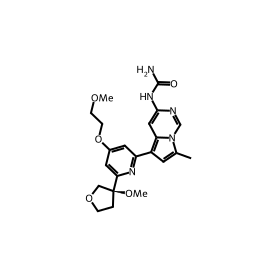 COCCOc1cc(-c2cc(C)n3cnc(NC(N)=O)cc23)nc([C@]2(OC)CCOC2)c1